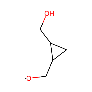 [O]CC1CC1CO